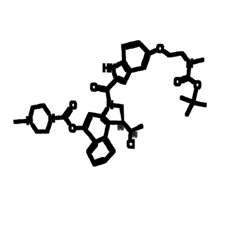 C[C@@H](Cl)[C@@H]1CN(C(=O)c2cc3cc(OCCN(C)C(=O)OC(C)(C)C)ccc3[nH]2)c2cc(OC(=O)N3CCN(C)CC3)c3ccccc3c21